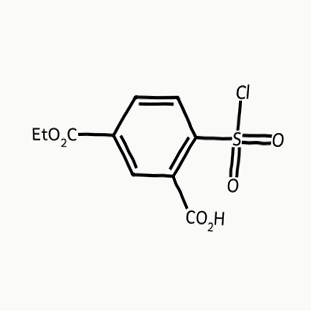 CCOC(=O)c1ccc(S(=O)(=O)Cl)c(C(=O)O)c1